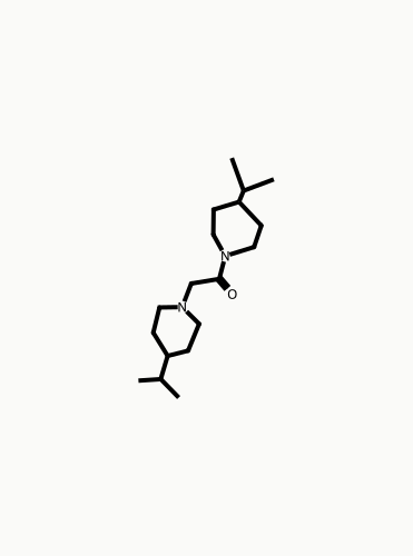 CC(C)C1CCN(CC(=O)N2CCC(C(C)C)CC2)CC1